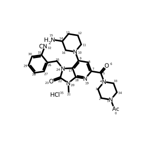 CC(=O)N1CCN(C(=O)c2cc(N3CCCC(N)C3)c3c(n2)n(C)c(=O)n3Cc2ccccc2C#N)CC1.Cl